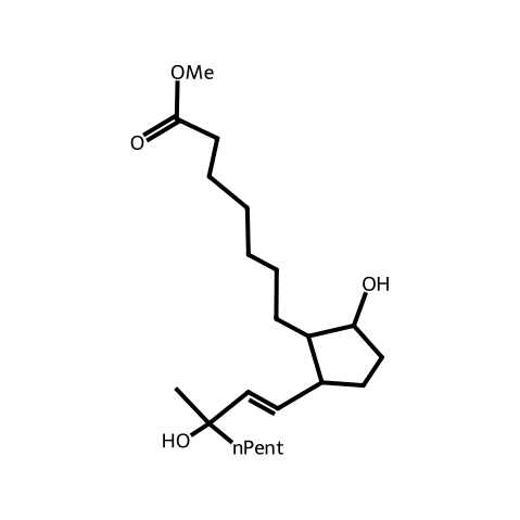 CCCCCC(C)(O)C=CC1CCC(O)C1CCCCCCC(=O)OC